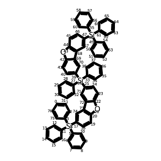 c1ccc([Si](c2ccccc2)(c2ccccc2)c2ccc3oc4ccc([Si](c5ccccc5)(c5ccccc5)c5ccc6oc7ccc([Si](c8ccccc8)(c8ccccc8)c8ccccc8)cc7c6c5)cc4c3c2)cc1